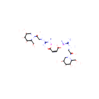 CN(OC(=O)/C=C\C(=O)ON(C)C(=N)NCC(=O)N1C[C@H](O)[C@@H](O)[C@@H](O)C1CO)C(=N)NCC(=O)N1C[C@H](O)[C@@H](O)[C@@H](O)C1CO